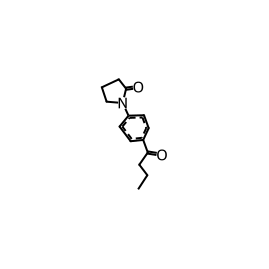 CCCC(=O)c1ccc(N2CCCC2=O)cc1